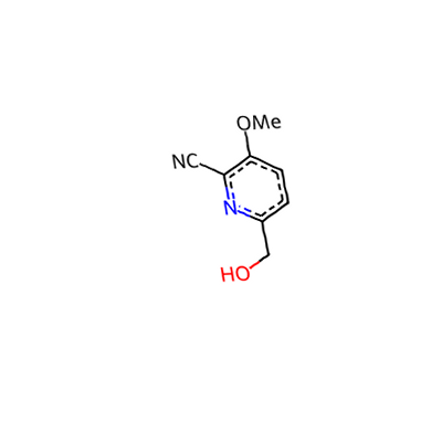 COc1ccc(CO)nc1C#N